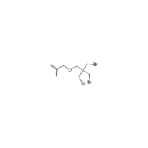 C=C(C)COCC(CBr)(CBr)CBr